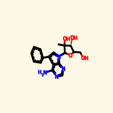 CC1(O)C(n2cc(-c3ccccc3)c3c(N)ncnc32)OC(CO)[C@H]1O